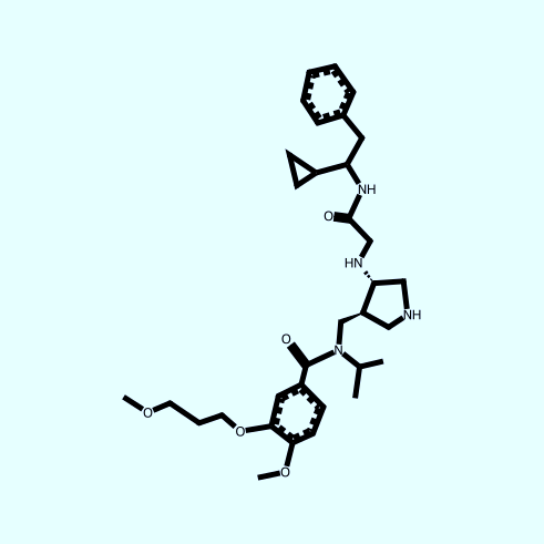 COCCCOc1cc(C(=O)N(C[C@@H]2CNC[C@H]2NCC(=O)NC(Cc2ccccc2)C2CC2)C(C)C)ccc1OC